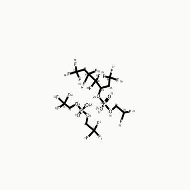 O=P(O)(OCC(F)(F)F)OCC(F)(F)F.O=P(O)(OCC(F)F)OC(CC(F)(F)F)C(F)(F)C(F)(F)CC(F)(F)F